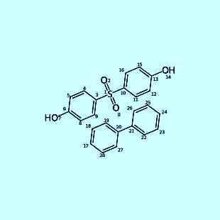 O=S(=O)(c1ccc(O)cc1)c1ccc(O)cc1.c1ccc(-c2ccccc2)cc1